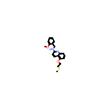 COc1ccccc1CNc1ccc2c(OCCSC)cccc2n1